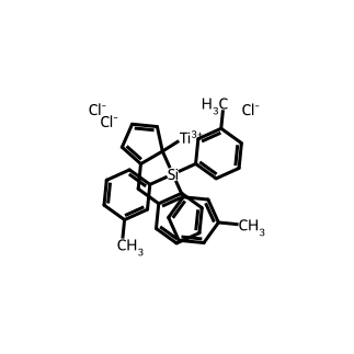 Cc1cccc([Si](c2cccc(C)c2)(c2cccc(C)c2)[C]2([Ti+3])C=CC=C2Cc2ccccc2)c1.[Cl-].[Cl-].[Cl-]